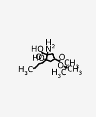 CCCCC1(O)CC(C(=O)OC(C)(C)C)CC1(N)C(=O)O